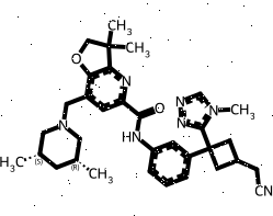 C[C@@H]1C[C@H](C)CN(Cc2cc(C(=O)Nc3cccc(C4(c5nncn5C)CC(CC#N)C4)c3)nc3c2OCC3(C)C)C1